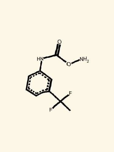 CC(F)(F)c1cccc(NC(=O)ON)c1